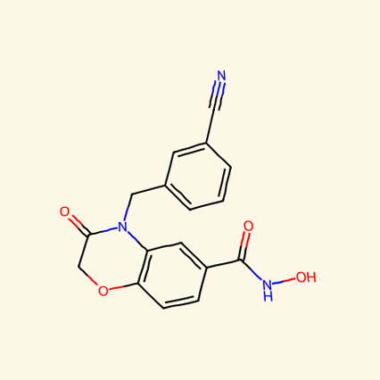 N#Cc1cccc(CN2C(=O)COc3ccc(C(=O)NO)cc32)c1